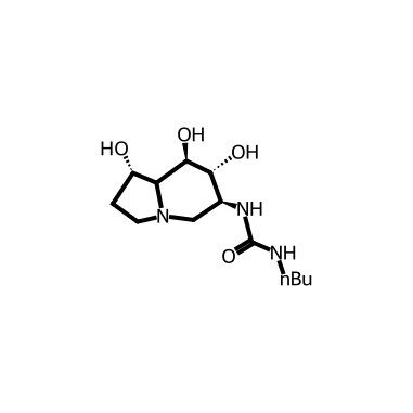 CCCCNC(=O)N[C@H]1CN2CC[C@H](O)C2[C@@H](O)[C@@H]1O